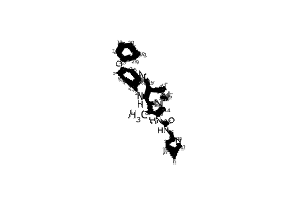 Cc1c(NC(=O)NCc2ccccn2)cn2ncc(C#N)c(Nc3ccc(Oc4ccccc4)cc3)c12